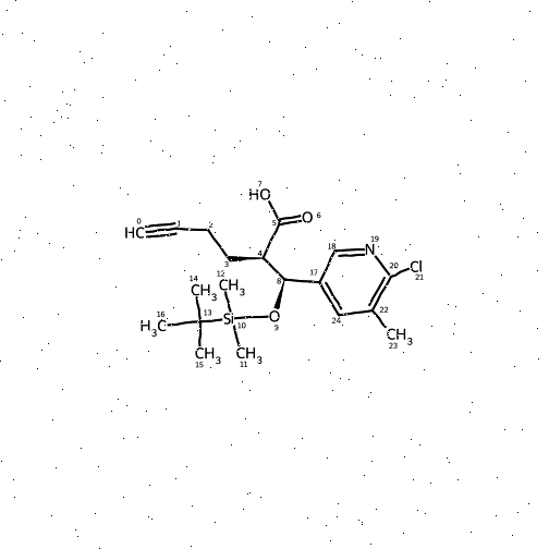 C#CCC[C@@H](C(=O)O)[C@H](O[Si](C)(C)C(C)(C)C)c1cnc(Cl)c(C)c1